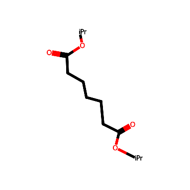 CC(C)OC(=O)CCCCCC(=O)OC(C)C